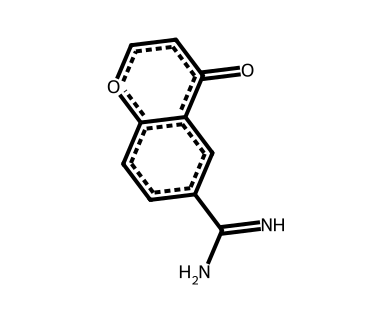 N=C(N)c1ccc2occc(=O)c2c1